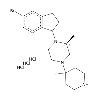 C[C@H]1CN(C2(C)CCNCC2)CCN1C1CCc2cc(Br)ccc21.Cl.Cl.Cl